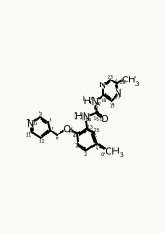 Cc1ccc(OCc2ccncc2)c(NC(=O)Nc2cnc(C)cn2)c1